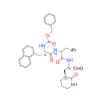 CC(C)CC(NC(=O)[C@H](Cc1cccc2ccccc12)NC(=O)OCc1ccccc1)C(=O)N[C@H](C=O)C[C@@H]1CCCNC1=O